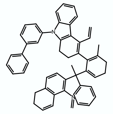 C=CC1=C(C2=C(C)CCC=C2C(C)(c2ccccc2)c2ccc3c(c2N=C)C=CCC3)CCc2c1c1ccccc1n2-c1cccc(-c2ccccc2)c1